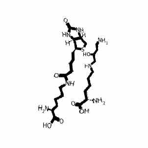 NCCC(O)CNCCCC[C@H](N)C(=O)O.N[C@@H](CCCCNC(=O)CCCC[C@@H]1SC[C@@H]2NC(=O)N[C@@H]21)C(=O)O